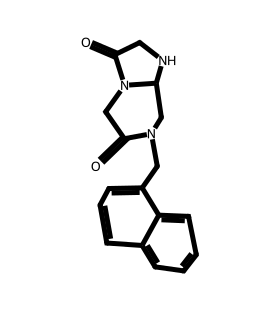 O=C1CN2C(=O)CNC2CN1Cc1cccc2ccccc12